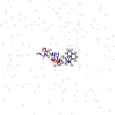 C#CCN1CC(NC(=O)CN(C2CCN([C@H](C)c3cccc4ccccc34)CC2)S(C)(=O)=O)CC1=O